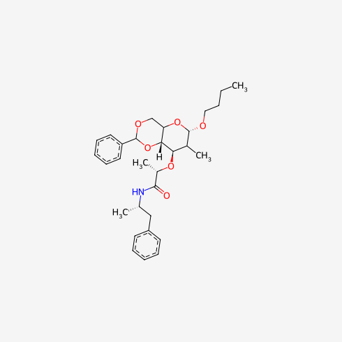 CCCCO[C@H]1OC2COC(c3ccccc3)O[C@H]2[C@H](O[C@@H](C)C(=O)N[C@@H](C)Cc2ccccc2)C1C